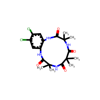 CC1(C)NC(=O)C(C)(C)C(=O)NC(C)(C)C(=O)Nc2cc(Cl)c(Cl)cc2NC1=O